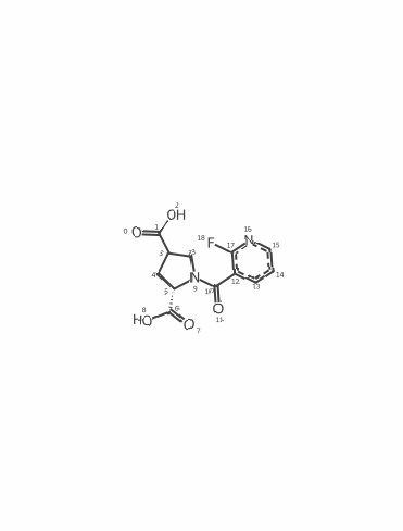 O=C(O)C1C[C@@H](C(=O)O)N(C(=O)c2cccnc2F)C1